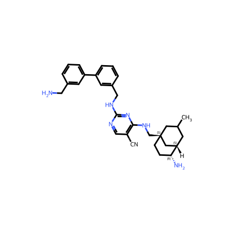 CC1C[C@H]2C[C@](CNc3nc(NCc4cccc(-c5cccc(CN)c5)c4)ncc3C#N)(CC[C@H]2N)C1